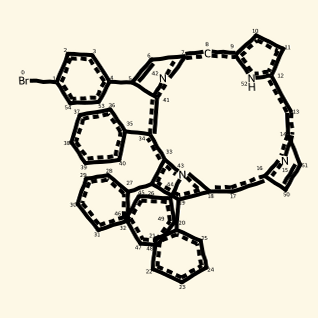 Brc1ccc(C2=Cc3cc4ccc(cc5nc(cc6c(-c7ccccc7)c(-c7ccccc7)c(c(-c7ccccc7)c2n3)n6-c2ccccc2)C=C5)[nH]4)cc1